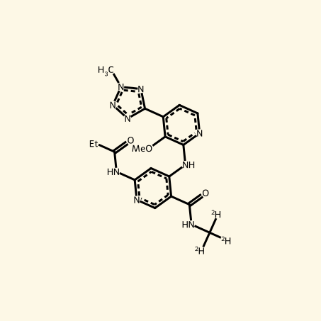 [2H]C([2H])([2H])NC(=O)c1cnc(NC(=O)CC)cc1Nc1nccc(-c2nnn(C)n2)c1OC